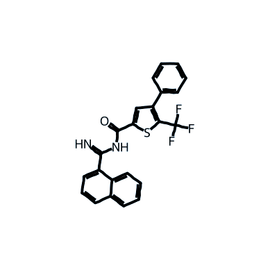 N=C(NC(=O)c1cc(-c2ccccc2)c(C(F)(F)F)s1)c1cccc2ccccc12